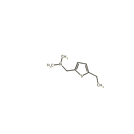 CCc1ccc(CN(C)C)s1